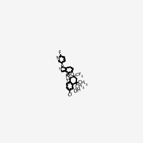 CC1(C)C[C@@](O)(C(F)(F)F)[C@@H](Nc2cccc3c2cnn3-c2ccc(F)nc2)c2ccc(Cl)c(O)c21